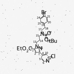 CCOC(=O)c1cc(-c2ccnc(Cl)c2)nn1CCCN(CCc1ccc(Br)cc1)C(=O)OC(C)(C)C